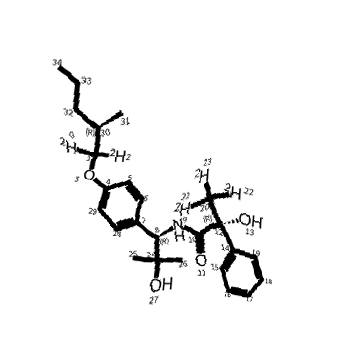 [2H]C([2H])(Oc1ccc([C@@H](NC(=O)[C@](O)(c2ccccc2)C([2H])([2H])[2H])C(C)(C)O)cc1)[C@H](C)CCC